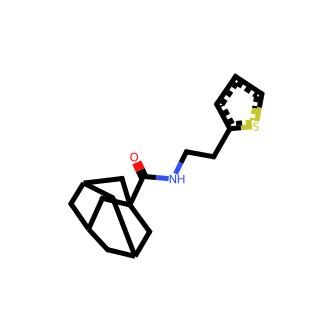 O=C(NCCc1cccs1)C12CC3CC(CC(C3)C1)C2